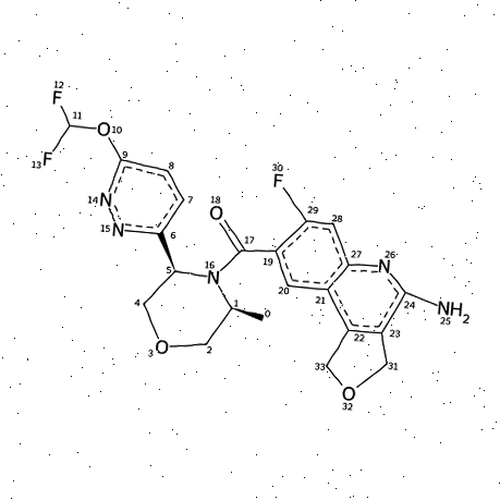 C[C@H]1COC[C@@H](c2ccc(OC(F)F)nn2)N1C(=O)c1cc2c3c(c(N)nc2cc1F)COC3